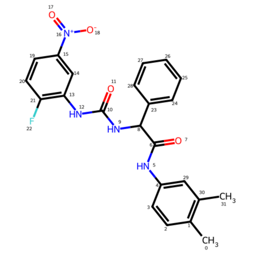 Cc1ccc(NC(=O)C(NC(=O)Nc2cc([N+](=O)[O-])ccc2F)c2ccccc2)cc1C